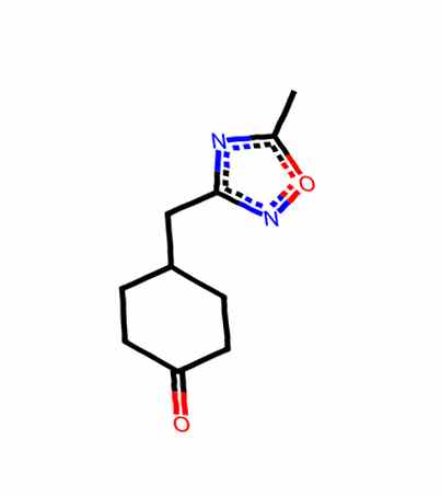 Cc1nc(CC2CCC(=O)CC2)no1